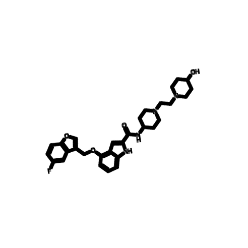 O=C(NC1CCN(CCN2CCC(O)CC2)CC1)c1cc2c(OCc3coc4ccc(F)cc34)cccc2[nH]1